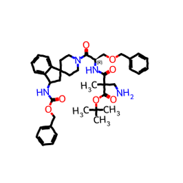 CC(C)(C)OC(=O)C(C)(CN)C(=O)N[C@H](COCc1ccccc1)C(=O)N1CCC2(CC1)CC(NC(=O)OCc1ccccc1)c1ccccc12